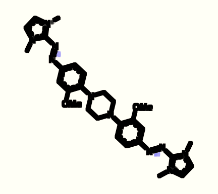 COc1cc(/N=N/c2n(C)cc[n+]2C)ccc1N1CCN(c2ccc(/N=N/c3n(C)cc[n+]3C)cc2OC)CC1